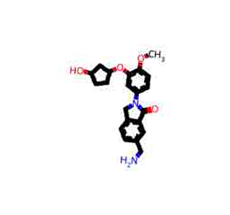 COc1ccc(N2Cc3ccc(CN)cc3C2=O)cc1OC1CCC(O)C1